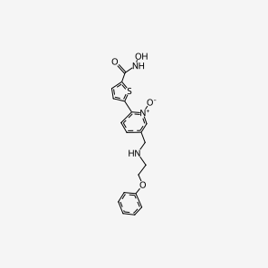 O=C(NO)c1ccc(-c2ccc(CNCCOc3ccccc3)c[n+]2[O-])s1